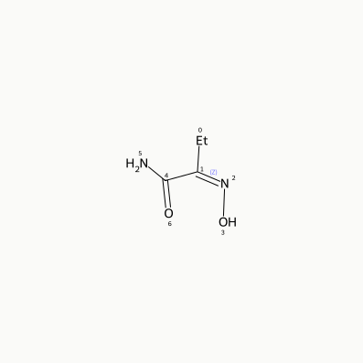 CC/C(=N/O)C(N)=O